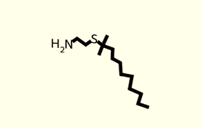 CCCCCCCCCC(C)(C)SCCN